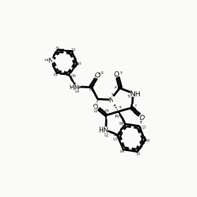 O=C(CN1C(=O)NC(=O)[C@@]12C(=O)Nc1ccccc12)Nc1cccnc1